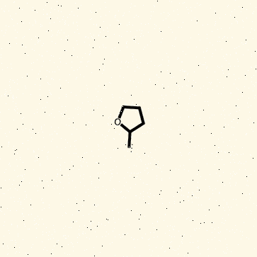 [C]C1CCCO1